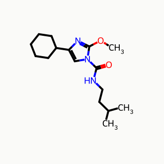 COc1nc(C2CCCCC2)cn1C(=O)NCCC(C)C